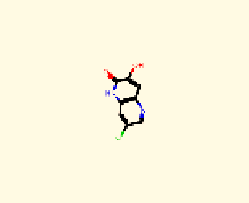 O=c1[nH]c2cc(Cl)cnc2cc1O